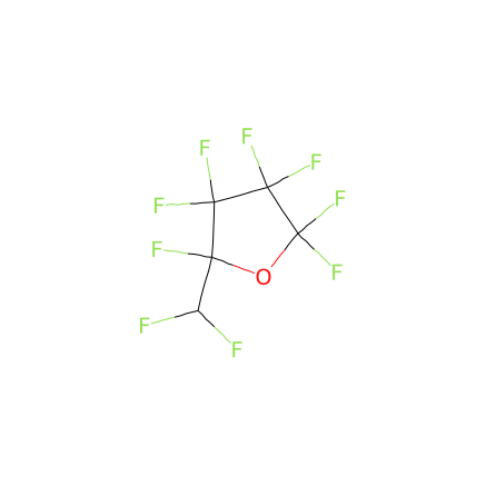 FC(F)C1(F)OC(F)(F)C(F)(F)C1(F)F